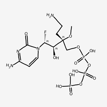 CO[C@](CCN)(COP(=O)(O)OP(=O)(O)OP(=O)(O)O)[C@@H](O)[C@@H](F)n1ccc(N)nc1=O